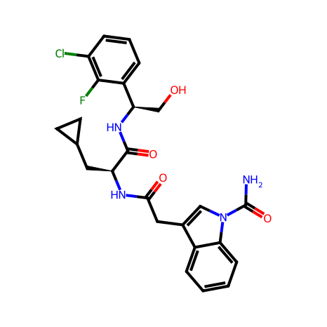 NC(=O)n1cc(CC(=O)N[C@@H](CC2CC2)C(=O)N[C@H](CO)c2cccc(Cl)c2F)c2ccccc21